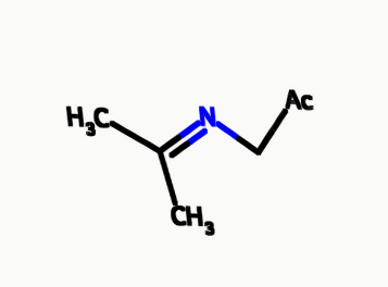 CC(=O)CN=C(C)C